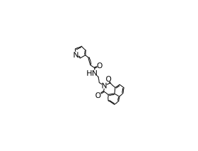 O=C(C=Cc1cccnc1)NCCN1C(=O)c2cccc3cccc(c23)C1=O